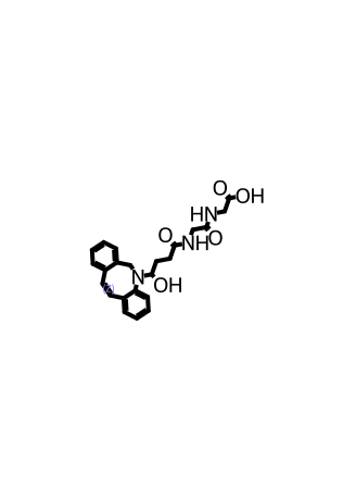 O=C(O)CNC(=O)CNC(=O)CCC(O)N1Cc2ccccc2/C=C\c2ccccc21